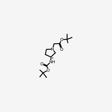 CC(C)(C)OC(=O)CN1CC[C@H](NC(=O)OC(C)(C)C)C1